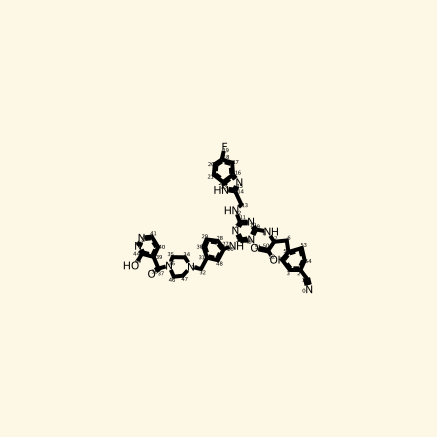 N#Cc1ccc(CC(Nc2nc(NCc3nc4cc(F)ccc4[nH]3)nc(Nc3cccc(CN4CCN(C(=O)c5ccnnc5O)CC4)c3)n2)C(=O)O)cc1